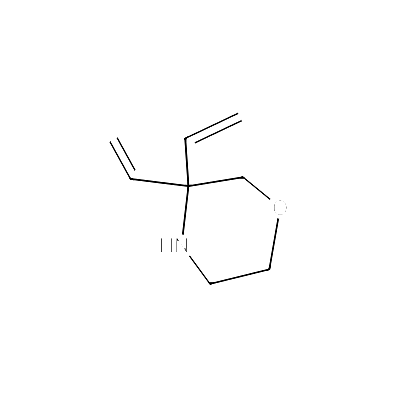 C=CC1(C=C)COCCN1